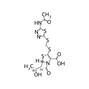 CC(=O)Nc1nnc(SCSC2=C(C(=O)O)N3C(=O)[C@H]([C@@H](C)O)[C@H]3S2)s1